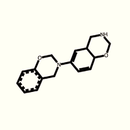 C1=CC2OCNCC2C=C1N1COc2ccccc2C1